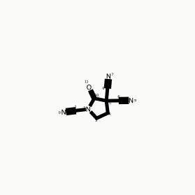 N#CN1CCC(C#N)(C#N)C1=O